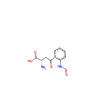 N[C@@H](CC(=O)c1ccccc1NC=O)C(=O)O